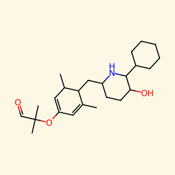 CC1=CC(OC(C)(C)C=O)=CC(C)C1CC1CCC(O)C(C2CCCCC2)N1